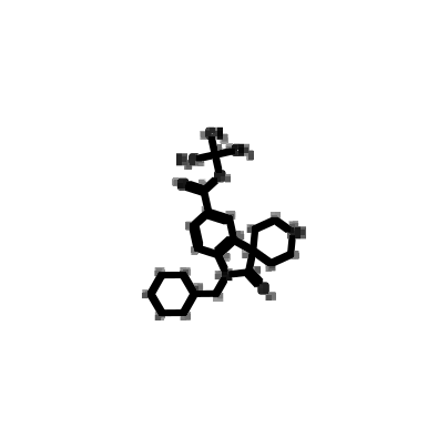 CC(C)(C)OC(=O)c1ccc2c(c1)C1(CCNCC1)C(=O)N2CC1CCCCC1